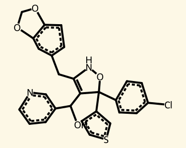 OC(C1=C(Cc2ccc3c(c2)OCO3)NOC1(c1ccc(Cl)cc1)c1ccsc1)c1cccnc1